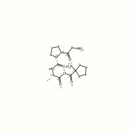 C[C@H](NC(=O)[C@@H]1CCCN1C(=O)CN)C(=O)OC(=O)C1(N)CCCC1